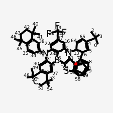 CC(C)(C)C1=CC(c2ccccc2)C(N2c3cc(C(F)(F)F)cc4c3B(c3cc5c(cc3N4c3ccc4c(c3)C(C)(C)CCC4(C)C)C(C)(C)CCC5(C)C)c3sc4ccccc4c32)C=C1